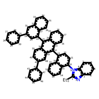 CCc1nc2ccccc2n1-c1ccc(-c2c3ccccc3c(-c3cc(-c4ccccc4)cc4ccccc34)c3ccc(-c4ccccc4)cc23)c2ccccc12